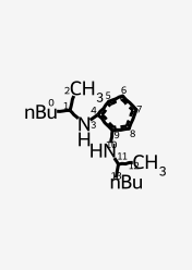 CCCCC(C)Nc1ccccc1NC(C)CCCC